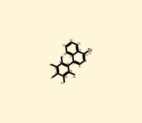 Cc1c(C)c(C)c(-c2ccc(Br)c3ccccc23)c(C)c1C